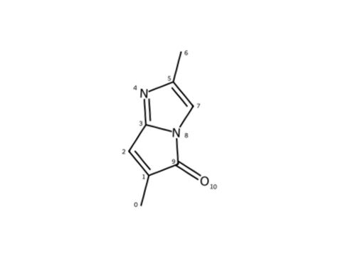 CC1=Cc2nc(C)cn2C1=O